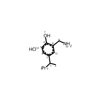 CC(C)C(C)c1ccc(O)c(CN)c1.Cl